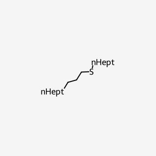 [CH2]CCCCCCSCCCCCCCCCC